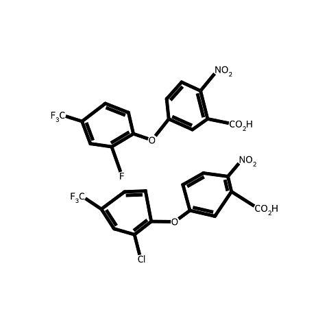 O=C(O)c1cc(Oc2ccc(C(F)(F)F)cc2Cl)ccc1[N+](=O)[O-].O=C(O)c1cc(Oc2ccc(C(F)(F)F)cc2F)ccc1[N+](=O)[O-]